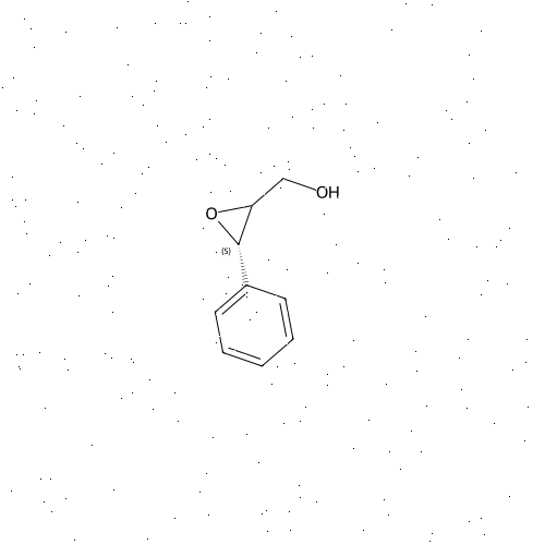 OCC1O[C@H]1c1ccccc1